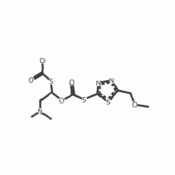 COCc1nnc(SC(=O)OC(CN(C)C)SC([O])=O)s1